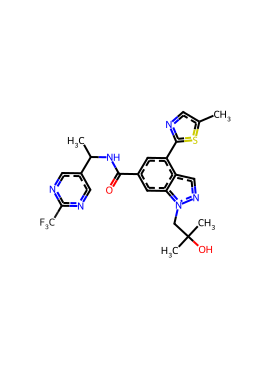 Cc1cnc(-c2cc(C(=O)NC(C)c3cnc(C(F)(F)F)nc3)cc3c2cnn3CC(C)(C)O)s1